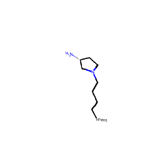 CCCCCCCCCN1CC[C@@H](N)C1